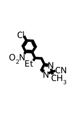 CCC(CC1=NC(C)(C#N)N=C1)c1ccc(Cl)cc1[N+](=O)[O-]